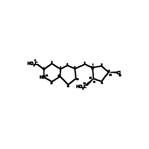 O=C(O)C1CC2CC(CN3C[C@H](Cl)C[C@H]3C(=O)O)CCC2CN1